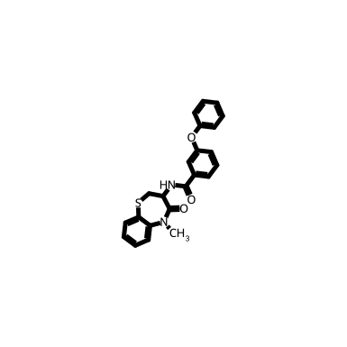 CN1C(=O)C(NC(=O)c2cccc(Oc3ccccc3)c2)CSc2ccccc21